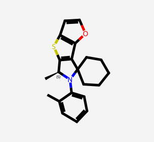 Cc1ccccc1N1[C@@H](C)c2sc3ccoc3c2C12CCCCC2